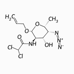 C=CCO[C@@H]1O[C@H](C)[C@H](N=[N+]=[N-])[C@H](O)[C@H]1NC(=O)C(Cl)Cl